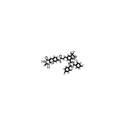 C=c1[nH]c(=O)c(=Cc2ccc(N(C)C(=O)CCc3cc(-c4nc(-c5ccc(C)cc5C)nc(-c5ccc(C)cc5C)n4)c(N=O)c(C(C)(C)C)c3)cc2)c(=O)[nH]1